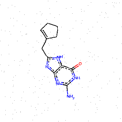 Nc1nc2nc(CC3=CCCC3)[nH]c2c(=O)[nH]1